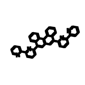 c1ccc(-c2cccc(-c3cc4cc(-c5cccc(-c6ccccn6)n5)c5ccccc5c4c4ccccc34)n2)nc1